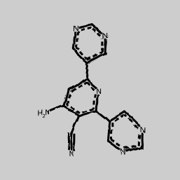 N#Cc1c(N)cc(-c2cncnc2)nc1-c1cncnc1